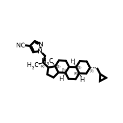 C[C@@H](Cn1cc(C#N)cn1)C1CCC2[C@@H]3CC[C@@H]4C[C@@H](CC5CC5)CC[C@@H]4C3CC[C@@]21C